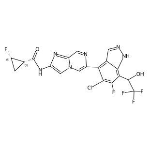 O=C(Nc1cn2cc(-c3c(Cl)c(F)c(C(O)C(F)(F)F)c4[nH]ncc34)ncc2n1)[C@@H]1C[C@@H]1F